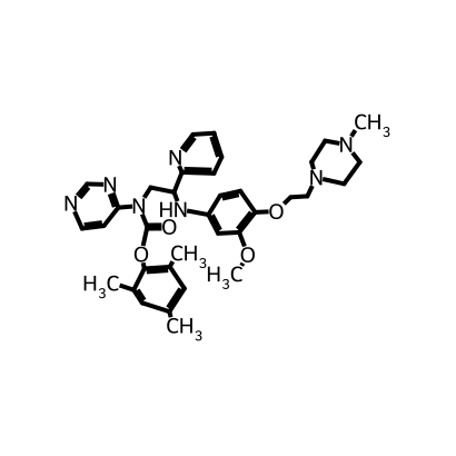 COc1cc(NC(CN(C(=O)Oc2c(C)cc(C)cc2C)c2ccncn2)c2ccccn2)ccc1OCCN1CCN(C)CC1